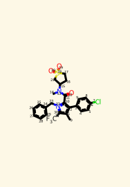 Cc1c(-c2ccc(Cl)cc2)c(C(=O)N(C)C2CCS(=O)(=O)C2)n(Cc2ccccc2)c1C(F)(F)F